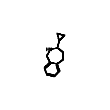 c1ccc2c(c1)CCC(C1CC1)NC2